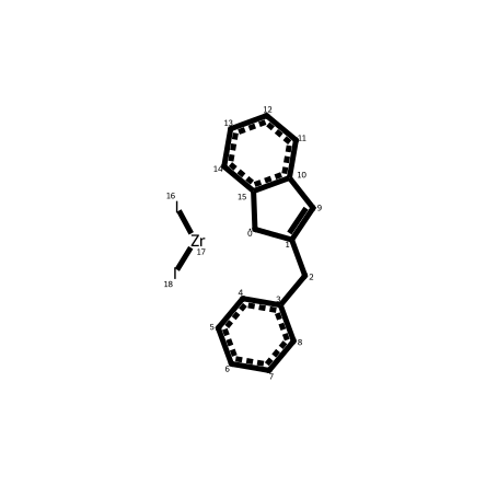 [CH]1C(Cc2ccccc2)=Cc2ccccc21.[I][Zr][I]